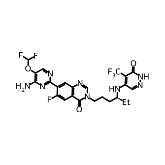 CC[C@@H](CCCn1cnc2cc(-c3ncc(OC(F)F)c(N)n3)c(F)cc2c1=O)Nc1cn[nH]c(=O)c1C(F)(F)F